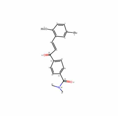 COc1ccc(C(C)(C)C)cc1C=CC(=O)c1ccc(C(=O)N(C)C)cc1